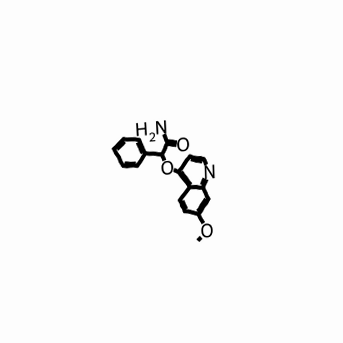 COc1ccc2c(OC(C(N)=O)c3ccccc3)ccnc2c1